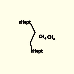 C.C.CCCCCCCCCCCCCCCC